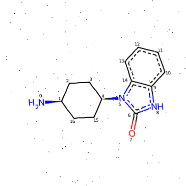 N[C@H]1CC[C@@H](n2c(=O)[nH]c3ccccc32)CC1